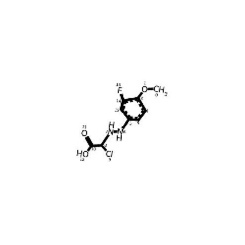 COc1ccc(NNC(Cl)C(=O)O)cc1F